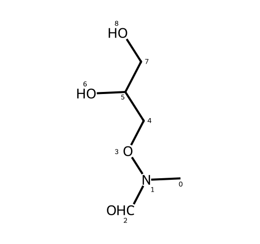 CN(C=O)OCC(O)CO